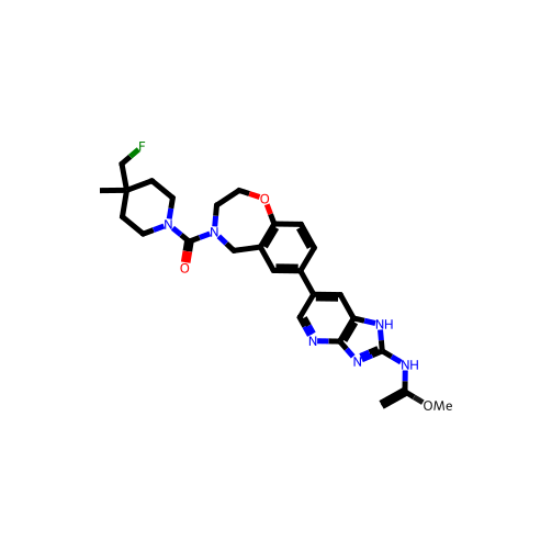 C=C(Nc1nc2ncc(-c3ccc4c(c3)CN(C(=O)N3CCC(C)(CF)CC3)CCO4)cc2[nH]1)OC